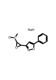 C[S+]([O-])C1OC1c1cc(-c2ccccc2)on1.[NaH]